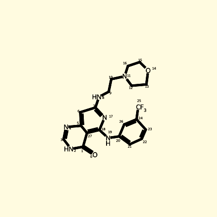 O=c1[nH]cnc2cc(NCCN3CCOCC3)nc(Nc3cccc(C(F)(F)F)c3)c12